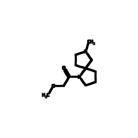 COCC(=O)N1CCCC12CCN(C)C2